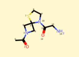 CC(=O)N1CC2(C1)SCCN2C(=O)CN